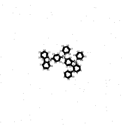 c1ccc(-c2cccc3c2c2ccc(N(c4ccccc4)c4ccc(-n5c6ccccc6c6ccccc65)cc4)cc2n3-c2ccccc2)cc1